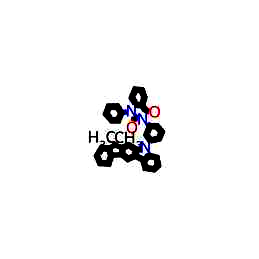 CC1(C)c2ccccc2-c2cc3c4ccccc4n(-c4cccc(-n5c(=O)c6ccccc6n(-c6ccccc6)c5=O)c4)c3cc21